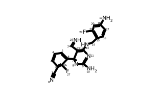 N#Cc1cccc(-c2nc(N)nc(NCc3ccc(N)cc3F)c2C=N)c1F